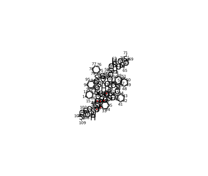 C[SiH](O[Si](C)(C)O[Si]1(C)O[Si]2(c3ccccc3)O[SiH](Cc3ccccc3)OC34O[Si](c5ccccc5)(O1)O[Si]3(c1ccccc1)O[Si]1(c3ccccc3)O[Si](C)(O[Si](C)(C)O[SiH](C)O[Si](C)(O)O[Si](C)(C)C)O[Si]3(c5ccccc5)OC(O[Si]4(Cc4ccccc4)O1)[Si](c1ccccc1)(O3)O2)O[Si](C)(O)O[Si](C)(C)C